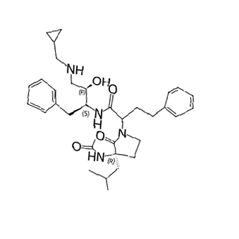 CC(=O)N[C@]1(CC(C)C)CCN(C(CCc2ccccc2)C(=O)N[C@@H](Cc2ccccc2)[C@H](O)CNCC2CC2)C1=O